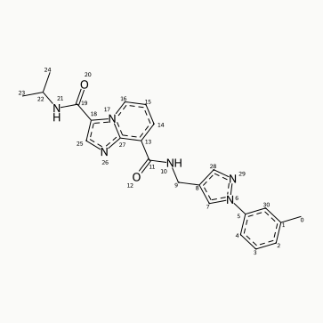 Cc1cccc(-n2cc(CNC(=O)c3cccn4c(C(=O)NC(C)C)cnc34)cn2)c1